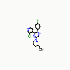 N#CCC1CCCN(c2cnc(-c3ccc(F)cc3)c(-c3ccncc3Cl)n2)C1